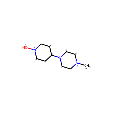 CN1CCN(C2CCN(O)CC2)CC1